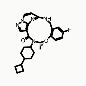 C[C@@H]1Oc2ccc(F)cc2CNc2ccn3ncc(c3n2)C(=O)N1C1CCC(C2CCC2)CC1